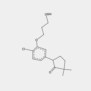 COCCCOc1cc(C2CCC(C)(C)C2=O)ccc1Cl